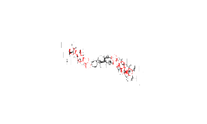 C=CC(=O)OC(CC)OC(CC)OC(CC)Oc1ccc(C(C)(C)c2ccc(OC(CC)OC(CC)OC(CC)OC(=O)C=C)cc2)cc1